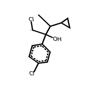 CC(C1CC1)C(O)([CH]Cl)c1ccc(Cl)cc1